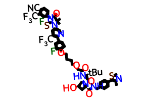 Cc1ncsc1-c1ccc(CNC(=O)[C@@H]2C[C@@H](O)CN2C(=O)[C@@H](NC(=O)COCCCCOc2ccc(-c3ncc(N4C(=S)N(c5ccc(C#N)c(C(F)(F)F)c5F)C(=O)C4(C)C)cc3C(F)(F)F)cc2F)C(C)(C)C)cc1